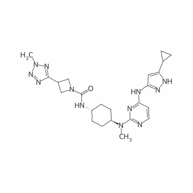 Cn1nnc(C2CN(C(=O)N[C@H]3CC[C@H](N(C)c4nccc(Nc5cc(C6CC6)[nH]n5)n4)CC3)C2)n1